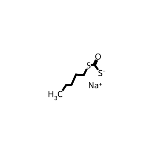 CCCCCSC(=O)[S-].[Na+]